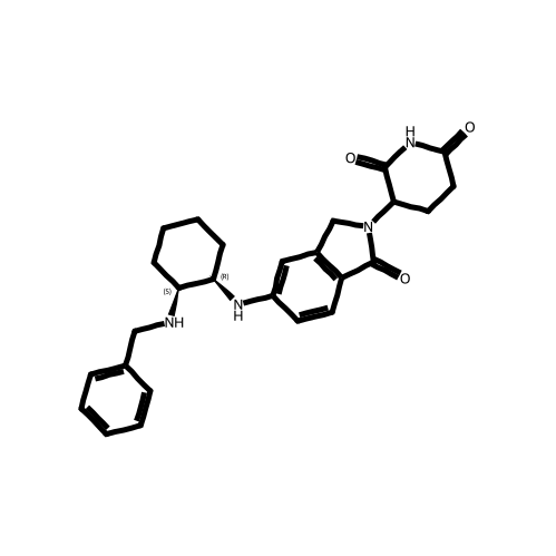 O=C1CCC(N2Cc3cc(N[C@@H]4CCCC[C@@H]4NCc4ccccc4)ccc3C2=O)C(=O)N1